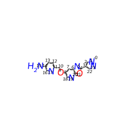 Cn1cc(-c2nc3cc(OCc4ccc(N)cn4)cnc3o2)cn1